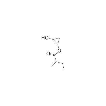 CCC(C)C(=O)OC1CC1O